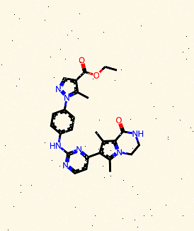 CCOC(=O)c1cnn(-c2ccc(Nc3nccc(-c4c(C)c5n(c4C)CCNC5=O)n3)cc2)c1C